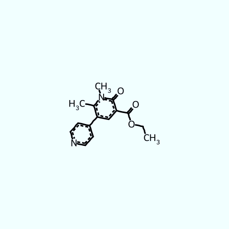 CCOC(=O)c1cc(-c2ccncc2)c(C)n(C)c1=O